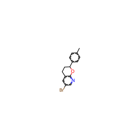 Cc1ccc(C2CCc3cc(Br)cnc3O2)cc1